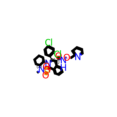 CN([C@H]1CCCC[C@@H]1N1C(=O)c2ccccc2[C@@H](C(=O)NOCc2ccccn2)[C@@H]1c1ccc(Cl)cc1Cl)S(C)(=O)=O